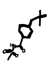 CC(C)(C)Cc1ccc(C(=O)NS(C)(=O)=O)cc1